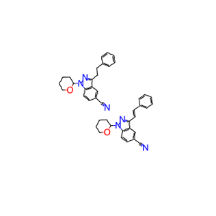 N#Cc1ccc2c(c1)c(C=Cc1ccccc1)nn2C1CCCCO1.N#Cc1ccc2c(c1)c(CCc1ccccc1)nn2C1CCCCO1